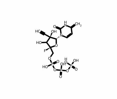 C#C[C@@]1(O)C(O)[C@@](F)(COP(=O)(O)OP(=O)(O)OP(=O)(O)O)O[C@H]1N1C=CC(=C)NC1=O